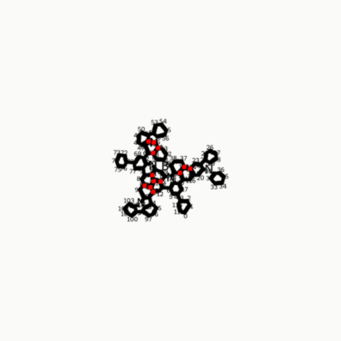 c1ccc(-c2cc(-c3ccccc3)c(N3c4cc(-c5ccc6c(c5)c5ccccc5n6-c5ccccc5)ccc4B4c5ccc(-n6c7ccccc7c7ccccc76)cc5N(c5c(-c6ccccc6)cc(-c6ccccc6)cc5-c5ccccc5)c5cc(-c6ccc7c(c6)c6cccc8c9ccccc9n7c86)cc3c54)c(-c3ccccc3)c2)cc1